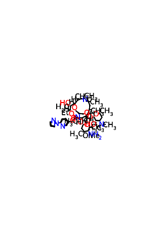 CC[C@H]1OC(=O)[C@H](C)[C@@H](O[C@H]2C[C@@](C)(OC)[C@H](N)[C@H](C)O2)[C@H](C)[C@@H](O[C@@H]2O[C@H](C)C[C@H](N(C)C)[C@H]2O)[C@@]2(C)C[C@@H](C)N(C)C[C@H](C)[C@@H](OC/C(=N\OCc3ccc(-n4cccn4)nc3)CO2)[C@]1(C)O